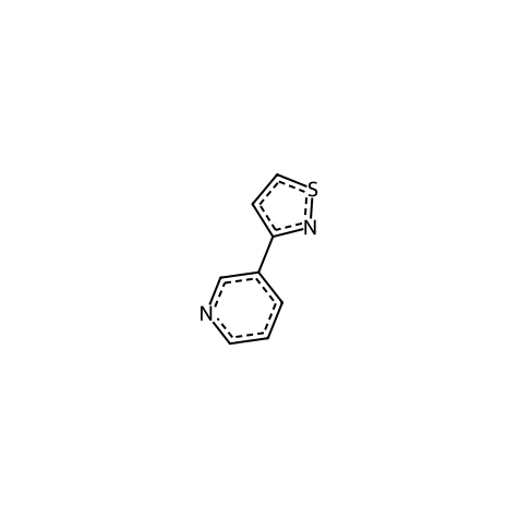 c1cncc(-c2ccsn2)c1